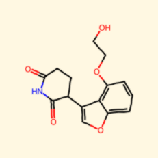 O=C1CCC(c2coc3cccc(OCCO)c23)C(=O)N1